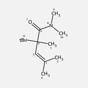 CC(C)=CC(C)(C(=O)N(C)C)C(C)(C)C